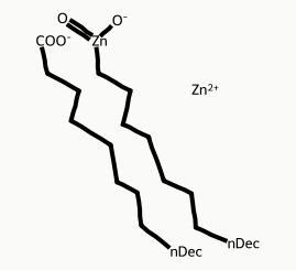 CCCCCCCCCCCCCCCCCC(=O)[O-].CCCCCCCCCCCCCCCC[CH2][Zn](=[O])[O-].[Zn+2]